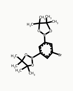 CC1(C)OB(c2cc(Br)cc(B3OC(C)(C)C(C)(C)O3)c2)OC1(C)C